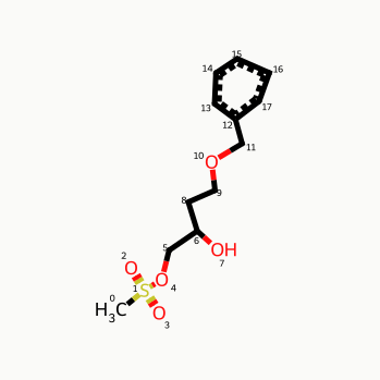 CS(=O)(=O)OCC(O)CCOCc1ccccc1